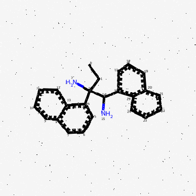 CCC(N)(c1cccc2ccccc12)C(N)c1cccc2ccccc12